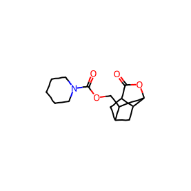 O=C1OC2C(COC(=O)N3CCCCC3)C3CC1C2C3